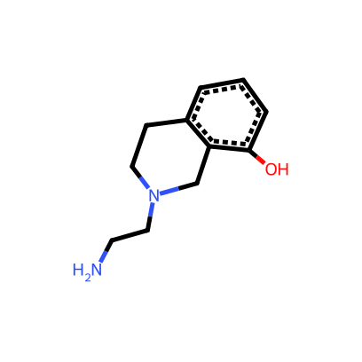 NCCN1CCc2cccc(O)c2C1